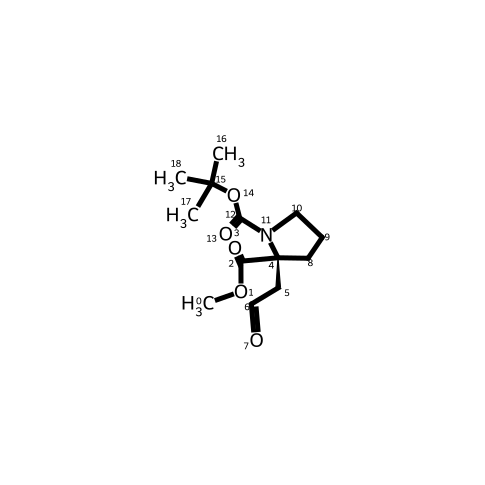 COC(=O)[C@@]1(CC=O)CCCN1C(=O)OC(C)(C)C